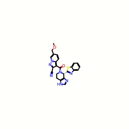 COCc1ccc2c(C(=O)N3CCc4[nH]cnc4[C@H]3c3nc4ccccc4s3)c(C#N)nn2c1